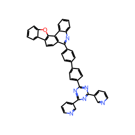 c1cncc(-c2nc(-c3ccc(-c4ccc(-c5nc6ccccc6c6c5ccc5c7ccccc7oc56)cc4)cc3)nc(-c3cccnc3)n2)c1